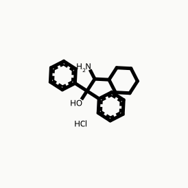 Cl.NC(C1CCCCC1)C(O)(c1ccccc1)c1ccccc1